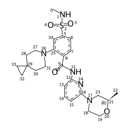 CNS(=O)(=O)c1ccc(C(=O)Nc2cccc(N3CCO[C@H](C)C3)n2)c(N2CCC3(CC2)CC3)c1